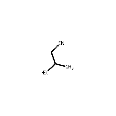 C[CH]C(C)CC#N